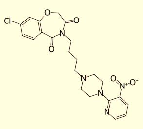 O=C1COc2cc(Cl)ccc2C(=O)N1CCCCN1CCN(c2ncccc2[N+](=O)[O-])CC1